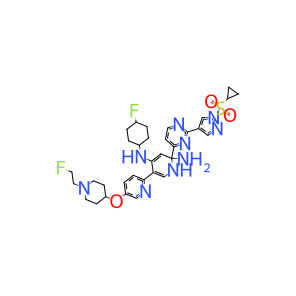 NC1(c2ccnc(-c3cnn(S(=O)(=O)C4CC4)c3)n2)C=C(NC2CCC(F)CC2)C(c2ccc(OC3CCN(CCF)CC3)cn2)=CN1